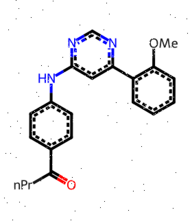 CCCC(=O)c1ccc(Nc2cc(-c3ccccc3OC)ncn2)cc1